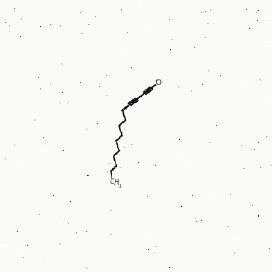 CCCCCCCCCCC#CC#C[O]